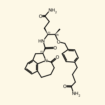 C[C@@H](OCc1ccc(CCCC(N)=O)cc1)[C@H](CCC(N)=O)NC(=O)[C@@H]1Cc2cccc3c2N1C(=O)CCC3